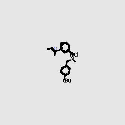 C/C=C(\C)c1cccc(CN(C)Cc2ccc(C(C)(C)C)cc2)c1.Cl